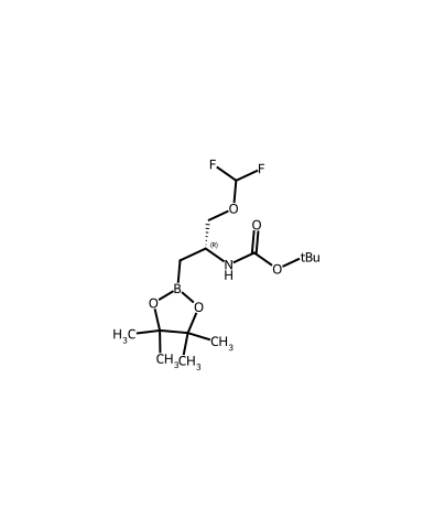 CC(C)(C)OC(=O)N[C@@H](COC(F)F)CB1OC(C)(C)C(C)(C)O1